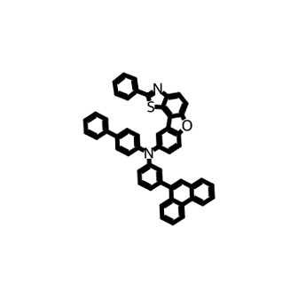 c1ccc(-c2ccc(N(c3cccc(-c4cc5ccccc5c5ccccc45)c3)c3ccc4oc5ccc6nc(-c7ccccc7)sc6c5c4c3)cc2)cc1